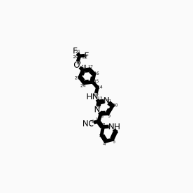 N#C/C(=C1\C=CC=CN1)c1ccnc(NCc2ccc(OC(F)F)cc2)n1